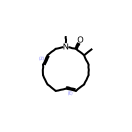 CC1CCC/C=C/CCC/C=C\CN(C)C1=O